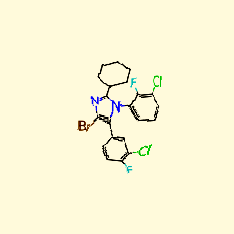 Fc1ccc(-c2c(Br)nc(C3CCCCC3)n2-c2cccc(Cl)c2F)cc1Cl